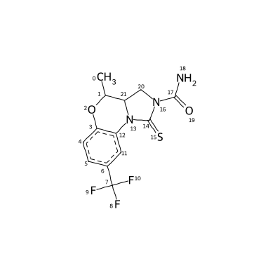 CC1Oc2ccc(C(F)(F)F)cc2N2C(=S)N(C(N)=O)CC12